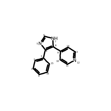 c1ccc(-c2nc[nH]c2-c2ccncc2)cc1